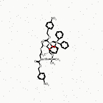 CC(=O)C(SCCNC(=O)OCc1ccc([N+](=O)[O-])cc1)[C@H]1[C@@H]([C@@H](C)O[Si](C)(C)C(C)(C)C)C(=O)[N+]1(C=P(c1ccccc1)(c1ccccc1)c1ccccc1)C(=O)OCc1ccc([N+](=O)[O-])cc1